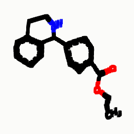 CCOC(=O)c1ccc(C2NCCc3ccccc32)cc1